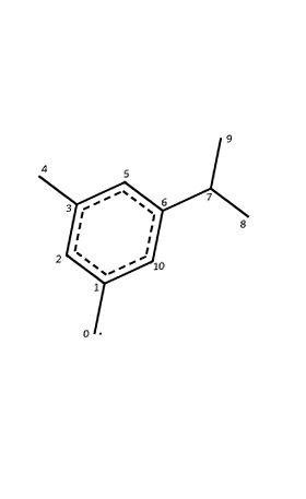 [CH2]c1cc(C)cc(C(C)C)c1